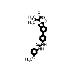 COc1cccc(NC(=S)Nc2ccc(-c3ccc4c(c3)CN(C(C(=O)O)C(C)C)C4=O)cc2)c1